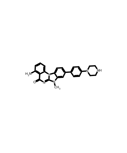 Cn1c2cc(-c3ccc(N4CCNCC4)cc3)ccc2n2c3cccc(N)c3c(=O)nc12